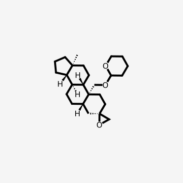 C[C@@]12CCC[C@H]1[C@@H]1CC[C@H]3C[C@]4(CC[C@]3(COC3CCCCO3)[C@H]1CC2)CO4